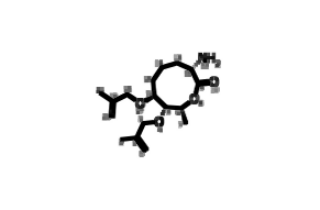 C=C(C)CO[C@H]1[C@H](C)OC(=O)[C@@H](N)CCC[C@@H]1OCC(=C)C